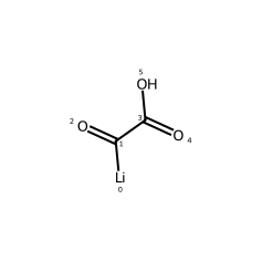 [Li][C](=O)C(=O)O